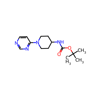 CC(C)(C)OC(=O)NC1CCN(c2ccncn2)CC1